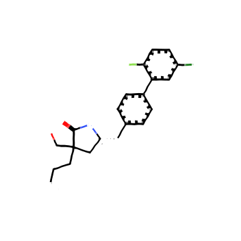 CCCC1(CO)C[C@@H](Cc2ccc(-c3cc(Cl)ccc3F)cc2)NC1=O